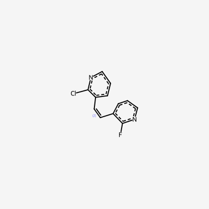 Fc1ncccc1/C=C\c1cccnc1Cl